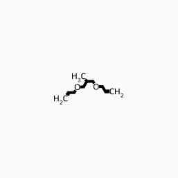 C=CCOCC(C)COCC=C